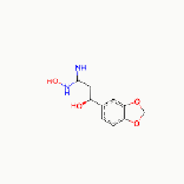 N=C(C[C@H](O)c1ccc2c(c1)OCO2)NO